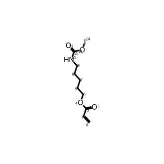 C=CC(=O)OCCCCCNC(=O)OI